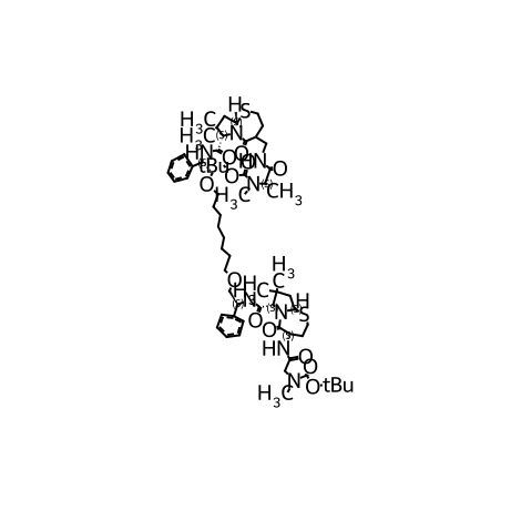 C[C@@H](C(=O)NCC1CCS[C@H]2CC(C)(C)[C@@H](C(=O)N[C@H](COCCCCCCCCOC[C@@H](NC(=O)[C@H]3N4C(=O)[C@@H](NC(=O)CN(C)C(=O)OC(C)(C)C)CCS[C@H]4CC3(C)C)c3ccccc3)c3ccccc3)N2C1=O)N(C)C(=O)OC(C)(C)C